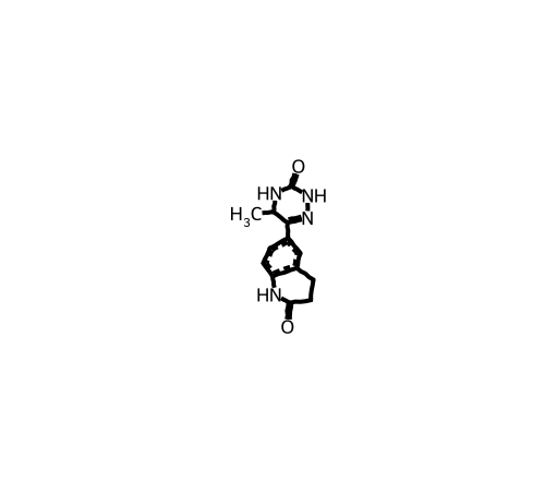 CC1NC(=O)NN=C1c1ccc2c(c1)CCC(=O)N2